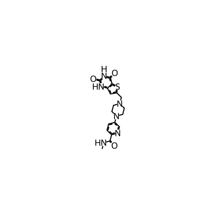 CNC(=O)c1ccc(N2CCN(Cc3cc4[nH]c(=O)[nH]c(=O)c4s3)CC2)cn1